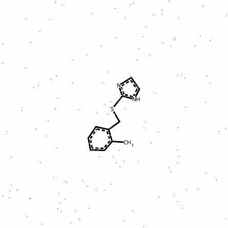 Cc1ccccc1CSc1ncc[nH]1